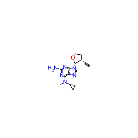 C#C[C@H]1C[C@@H](C)O[C@H]1n1cnc2c(N(C)C3CC3)nc(N)nc21